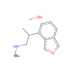 CC(CNC(C)(C)C)c1cccc2cocc12.CO